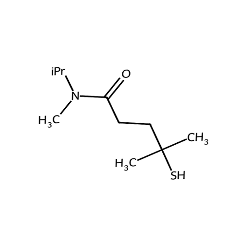 CC(C)N(C)C(=O)CCC(C)(C)S